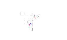 CCOC(=O)c1cc(F)cc(OCC2CNC(=O)N2)c1Cl